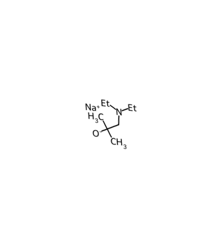 CCN(CC)CC(C)(C)[O-].[Na+]